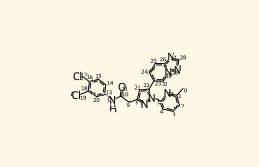 Cc1cccc(-n2nc(CC(=O)Nc3ccc(Cl)c(Cl)c3)cc2-c2ccc3ncnn3c2)n1